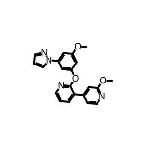 COc1cc(Oc2ncccc2-c2ccnc(OC)c2)cc(-n2cccn2)c1